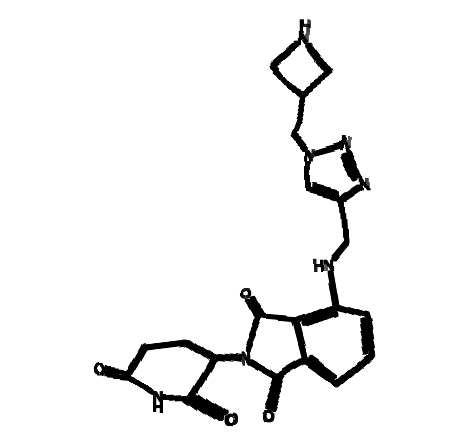 O=C1CCC(N2C(=O)c3cccc(NCc4cn(CC5CNC5)nn4)c3C2=O)C(=O)N1